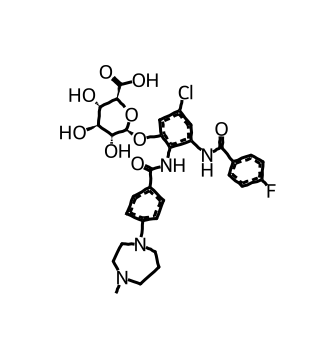 CN1CCCN(c2ccc(C(=O)Nc3c(NC(=O)c4ccc(F)cc4)cc(Cl)cc3O[C@@H]3O[C@H](C(=O)O)[C@@H](O)[C@H](O)[C@H]3O)cc2)CC1